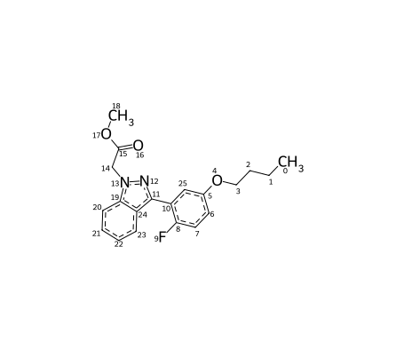 CCCCOc1ccc(F)c(-c2nn(CC(=O)OC)c3ccccc23)c1